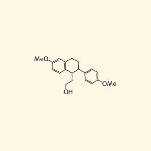 COc1ccc(C2CCc3cc(OC)ccc3C2CCO)cc1